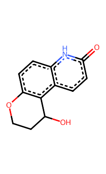 O=c1ccc2c3c(ccc2[nH]1)OCCC3O